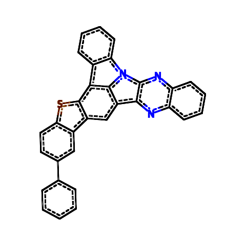 c1ccc(-c2ccc3sc4c(cc5c6nc7ccccc7nc6n6c7ccccc7c4c56)c3c2)cc1